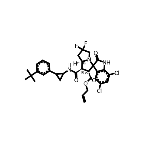 C=CCOC(=O)[C@H]1[C@@H](C(=O)NC2CC2c2cccc(C(C)(C)C)c2)[C@H]2CC(F)(F)CN2C12C(=O)Nc1c(Cl)cc(Cl)cc12